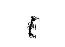 Cc1cc(CSCCC(=O)NCNC(=O)CCSCc2cc(C)c(O)c(C(C)(C)C)c2)cc(C(C)(C)C)c1O